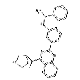 CC(Nc1cc(-c2nc(N3CC4CC3CN4)c3ccccc3n2)ccn1)c1ccccc1